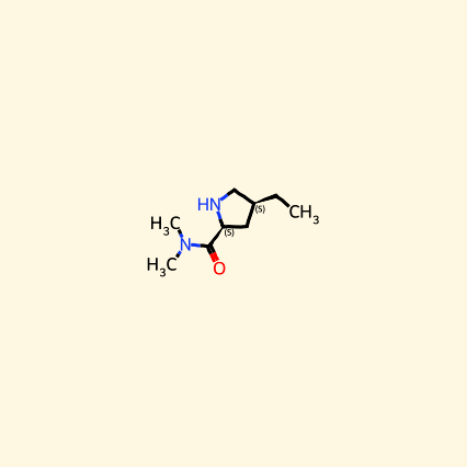 CC[C@@H]1CN[C@H](C(=O)N(C)C)C1